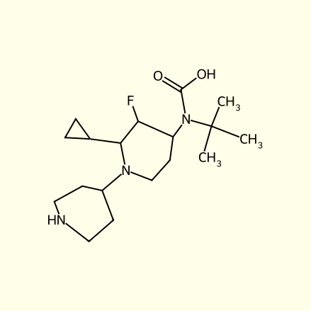 CC(C)(C)N(C(=O)O)C1CCN(C2CCNCC2)C(C2CC2)C1F